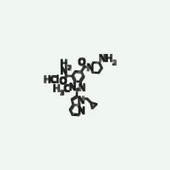 Cl.Cn1c(-c2cc3cccnc3n2CC2CC2)nc2cc(C(=O)N3CCC[C@@H](N)C3)cc(C(N)=O)c21